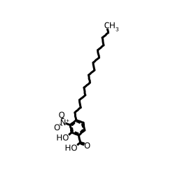 CCCCCCCCCCCCCCCc1ccc(C(=O)O)c(O)c1[N+](=O)[O-]